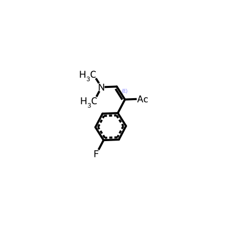 CC(=O)/C(=C/N(C)C)c1ccc(F)cc1